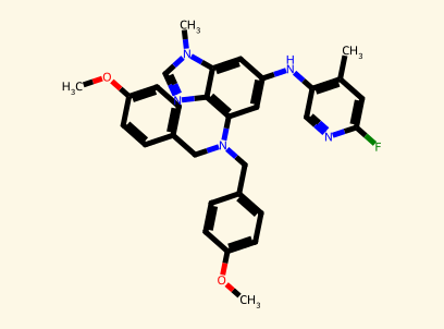 COc1ccc(CN(Cc2ccc(OC)cc2)c2cc(Nc3cnc(F)cc3C)cc3c2ncn3C)cc1